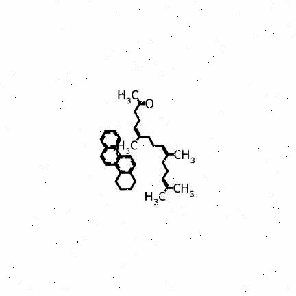 CC(=O)CCC=C(C)CCC=C(C)CCC=C(C)C.c1ccc2c(c1)ccc1c3c(ccc12)CCCC3